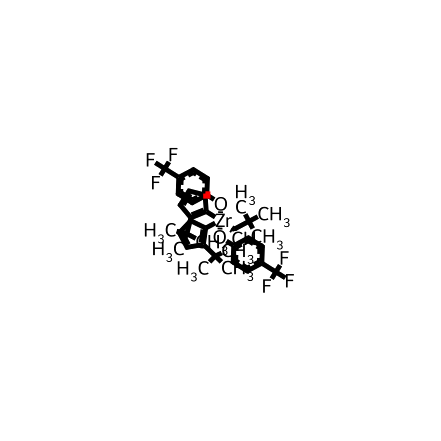 C[C](C(C)(C)C)=[Zr]([O]c1ccc(C(F)(F)F)cc1)([O]c1ccc(C(F)(F)F)cc1)([C]1=C(C(C)(C)C)C=CC1)[C]1=C(C(C)(C)C)C=CC1